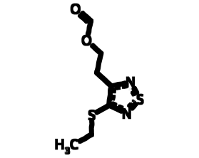 CCSc1nsnc1CCOC=O